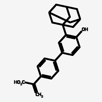 C=C(C(=O)O)c1ccc(-c2ccc(O)c(C34CC5CC(CC(C5)C3)C4)c2)cc1